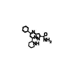 NC(=O)c1cc2nc(-c3ccccc3)cc(C3CCCCN3)n2n1